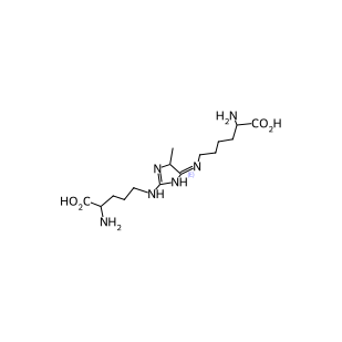 CC1N=C(NCCCC(N)C(=O)O)N/C1=N/CCCCC(N)C(=O)O